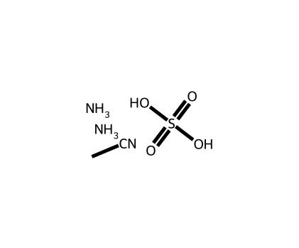 CC#N.N.N.O=S(=O)(O)O